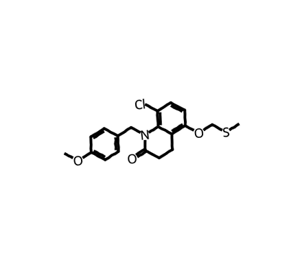 COc1ccc(CN2C(=O)CCc3c(OCSC)ccc(Cl)c32)cc1